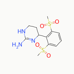 CS(=O)(=O)c1cccc(S(C)(=O)=O)c1C1CCNC(N)=N1